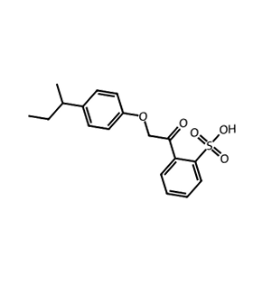 CCC(C)c1ccc(OCC(=O)c2ccccc2S(=O)(=O)O)cc1